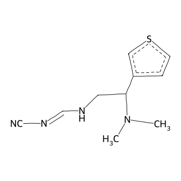 CN(C)C(CNC=NC#N)c1ccsc1